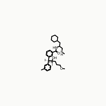 CNCC(CC1CCCCC1)NC(=O)c1cccc([C@](I)(c2cccc(C)c2)C(O)(I)CCCOC)c1